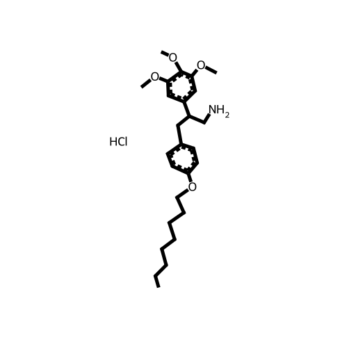 CCCCCCCCOc1ccc(CC(CN)c2cc(OC)c(OC)c(OC)c2)cc1.Cl